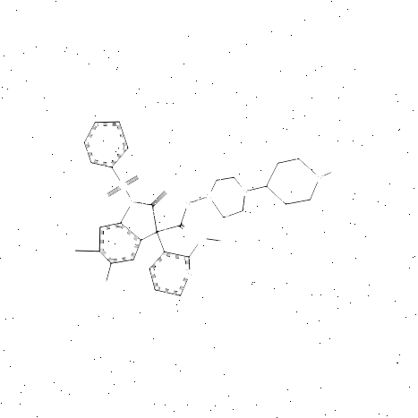 CCOc1ncccc1C1(C(=O)NN2CCN(C3CCN(C)CC3)CC2)C(=O)N(S(=O)(=O)c2ccccc2)c2cc(F)c(F)cc21